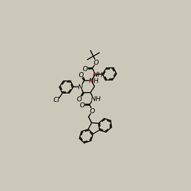 CC(C)(C)OC(=O)NCCC(NC(=O)OCC1c2ccccc2-c2ccccc21)C(=O)N(C(=O)NCc1ccccc1)c1cccc(Cl)c1